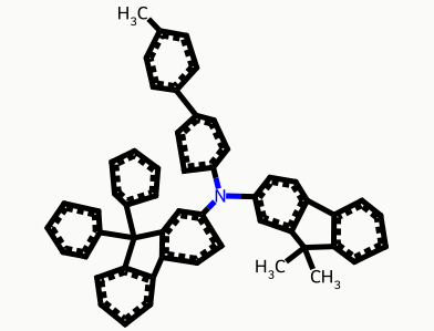 Cc1ccc(-c2ccc(N(c3ccc4c(c3)C(C)(C)c3ccccc3-4)c3ccc4c(c3)C(c3ccccc3)(c3ccccc3)c3ccccc3-4)cc2)cc1